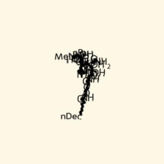 CCCCCCCCCCCCCCCCCC(=O)NCOCCOCC(=O)NCC(=O)N[C@@H](CO)[C@H](O)N[C@@H](CCC(N)=O)C(=O)N[C@@H](Cc1cnc[nH]1)C(=O)N[C@@H](CO)[C@@H](O)N[C@@H](CCCC)C(=O)NC